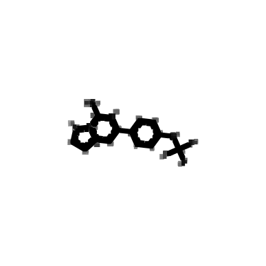 FC(F)(F)Oc1ccc(-c2cc3ccnn3c(S)n2)cc1